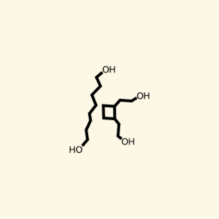 OCCC1CCC1CCO.OCCCCCCCCO